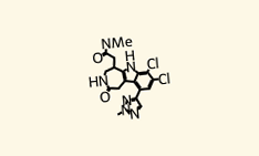 CNC(=O)CC1CNC(=O)Cc2c1[nH]c1c(Cl)c(Cl)cc(-c3cnn(C)n3)c21